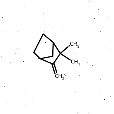 C=C1[C]2CCC(C2)C1(C)C